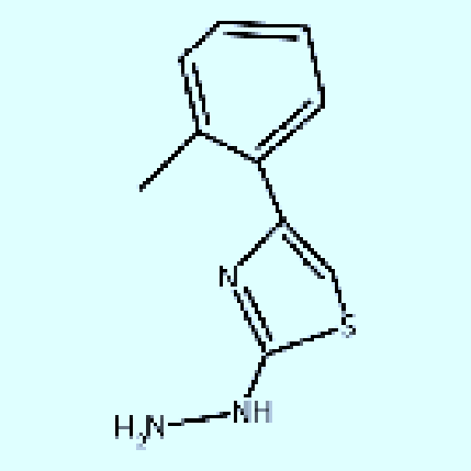 Cc1ccccc1-c1csc(NN)n1